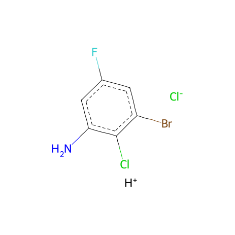 Nc1cc(F)cc(Br)c1Cl.[Cl-].[H+]